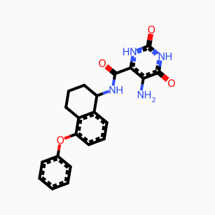 Nc1c(C(=O)NC2CCCc3c(Oc4ccccc4)cccc32)[nH]c(=O)[nH]c1=O